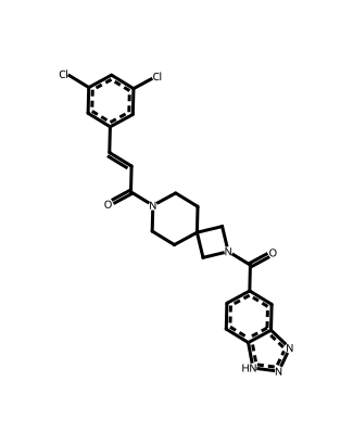 O=C(C=Cc1cc(Cl)cc(Cl)c1)N1CCC2(CC1)CN(C(=O)c1ccc3[nH]nnc3c1)C2